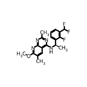 COc1nc2nc(C)nc(N[C@H](C)c3cccc(C(F)F)c3F)c2cc1C